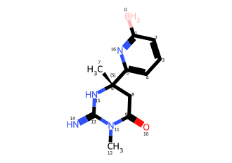 Bc1cccc([C@]2(C)CC(=O)N(C)C(=N)N2)n1